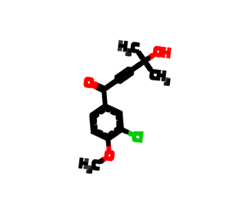 COc1ccc(C(=O)C#CC(C)(C)O)cc1Cl